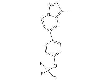 Cc1nnn2ccc(-c3ccc(OC(F)(F)F)cc3)cc12